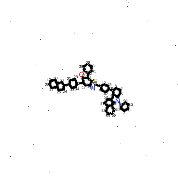 c1ccc(-n2c3cccc(-c4ccc(-c5nc6cc(-c7ccc(-c8ccc9ccccc9c8)cc7)c7oc8ccccc8c7c6s5)cc4)c3c3ccc4ccccc4c32)cc1